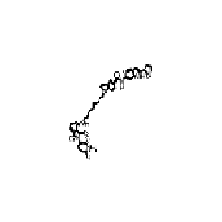 CN1CCC[C@H]1c1cc2cnc(NC(=O)c3ccc4c(cnn4CCCCCCCCNc4cccc5c4C(=O)N(C4CCC(=O)NC4=O)C5=O)c3)cc2[nH]1